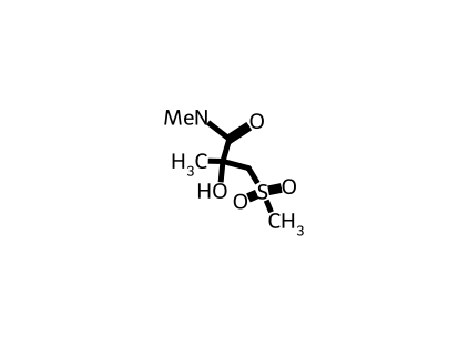 CNC(=O)C(C)(O)CS(C)(=O)=O